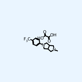 CN1CC2CN(c3ccc(C(F)(F)F)cc3)CC2C1.O=C(O)C(=O)O